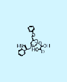 O=C(O)C(=O)O.c1ccc(OCC2CN(Cc3c[nH]c4ccccc34)CCO2)cc1